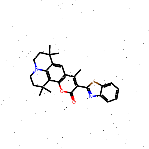 Cc1c(-c2nc3ccccc3s2)c(=O)oc2c3c4c(cc12)C(C)(C)CCN4CCC3(C)C